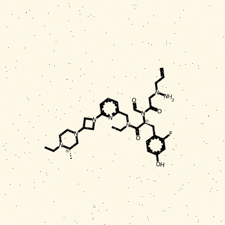 C=CCN(N)CC(=O)N(C=O)[C@@H](Cc1ccc(O)cc1F)C(=O)N(CC)Cc1cccc(N2CC(N3CCN(CC)[C@@H](C)C3)C2)n1